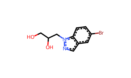 OCC(O)Cn1ncc2cc(Br)ccc21